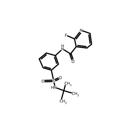 CC(C)(C)NS(=O)(=O)c1cccc(NC(=O)c2cccnc2F)c1